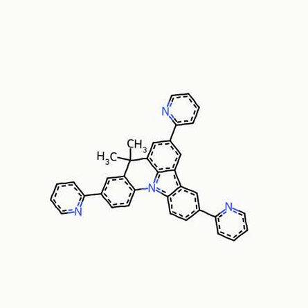 CC1(C)c2cc(-c3ccccn3)ccc2-n2c3ccc(-c4ccccn4)cc3c3cc(-c4ccccn4)cc1c32